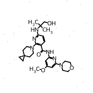 COc1cc(NC(=O)c2ccc(NC(C)(C)CO)nc2N2CCC3(CC2)CC3)nc(N2CCOCC2)c1